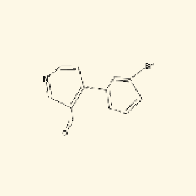 O=Cc1cnccc1-c1cccc(Br)c1